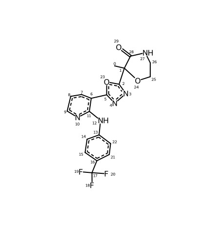 CC1(c2nnc(-c3cccnc3Nc3ccc(C(F)(F)F)cc3)o2)OCCNC1=O